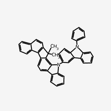 CC1(C)c2ccc3ccccc3c2-c2ccc3c4ccccc4n(-c4ccc5c(c4)c4ccccc4n5-c4ccccc4)c3c21